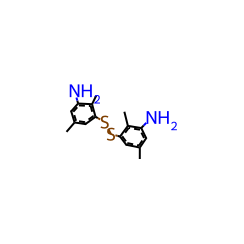 Cc1cc(N)c(C)c(SSc2cc(C)cc(N)c2C)c1